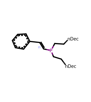 CCCCCCCCCCCCP(/C=C/c1ccccc1)CCCCCCCCCCCC